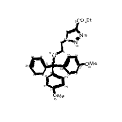 CCOC(=O)c1cn(CCOC(c2ccccc2)(c2ccc(OC)cc2)c2ccc(OC)cc2)nn1